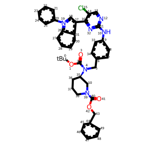 CC(C)(C)OC(=O)N(Cc1ccc(Nc2ncc(Cl)c(-c3cn(-c4ccccc4)c4ccccc34)n2)cc1)[C@@H]1CCCN(C(=O)OCc2ccccc2)C1